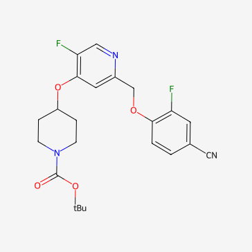 CC(C)(C)OC(=O)N1CCC(Oc2cc(COc3ccc(C#N)cc3F)ncc2F)CC1